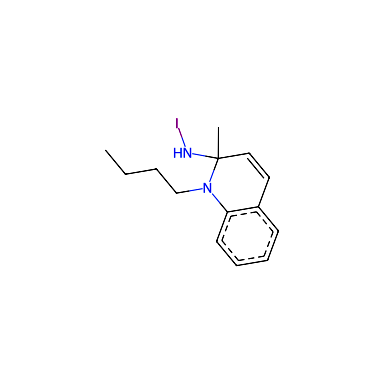 CCCCN1c2ccccc2C=CC1(C)NI